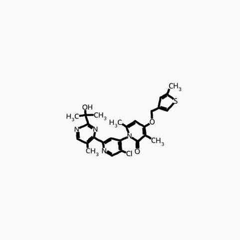 Cc1cc(COc2cc(C)n(-c3cc(-c4nc(C(C)(C)O)ncc4C)ncc3Cl)c(=O)c2C)cs1